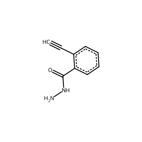 C#Cc1ccccc1C(=O)NN